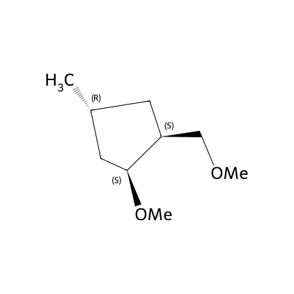 COC[C@@H]1C[C@@H](C)C[C@@H]1OC